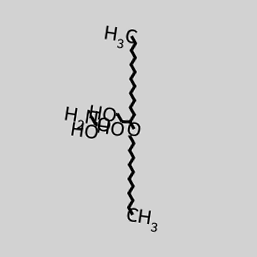 CCCCCCCCCCCCOC(CCCCCCCCCCCC)C(O)CO.NC(=O)O